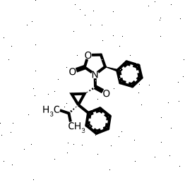 CC(C)[C@]1(c2ccccc2)C[C@@H]1C(=O)N1C(=O)OC[C@H]1c1ccccc1